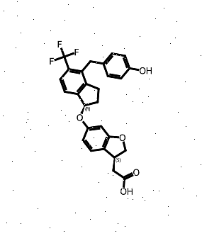 O=C(O)C[C@@H]1COc2cc(O[C@@H]3CCc4c3ccc(C(F)(F)F)c4Cc3ccc(O)cc3)ccc21